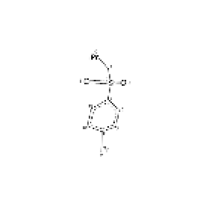 CC(C)CS(=O)(=O)c1ccc(C(C)C)cc1